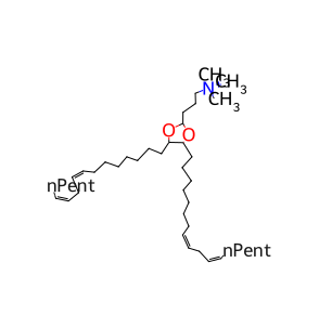 CCCCC/C=C\C/C=C\CCCCCCCC1OC(CCC[N+](C)(C)C)OC1CCCCCCC/C=C\C/C=C\CCCCC